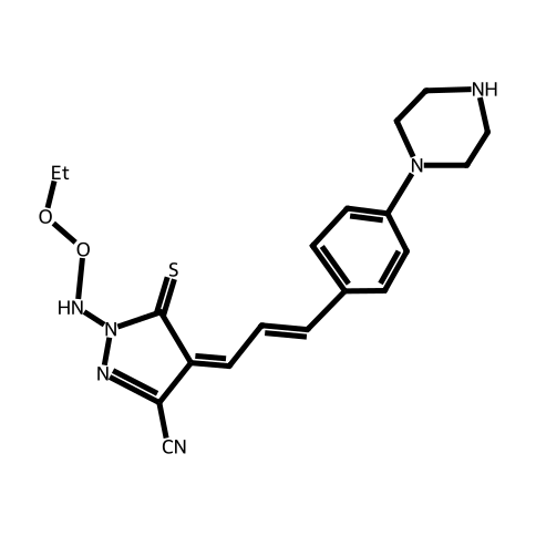 CCOONN1N=C(C#N)/C(=C/C=C/c2ccc(N3CCNCC3)cc2)C1=S